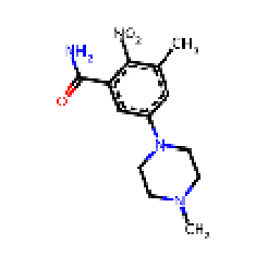 Cc1cc(N2CCN(C)CC2)cc(C(N)=O)c1[N+](=O)[O-]